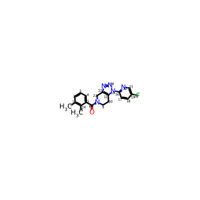 Cc1cccc(C(=O)N2CCc3c(nnn3-c3ccc(F)cn3)C2)c1C